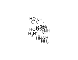 N=C(N)NCCCC(N)C(=O)O.NC(CCC(=O)O)C(=O)O.O=C(O)[C@@H]1CCCN1